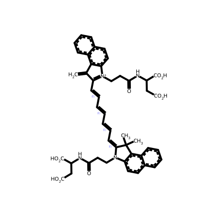 C=C1C(/C=C/C=C/C=C/C=C2/N(CCC(=O)NC(CC(=O)O)C(=O)O)c3ccc4ccccc4c3C2(C)C)=[N+](CCC(=O)NC(CC(=O)O)C(=O)O)c2ccc3ccccc3c21